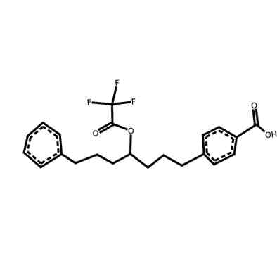 O=C(O)c1ccc(CCCC(CCCc2ccccc2)OC(=O)C(F)(F)F)cc1